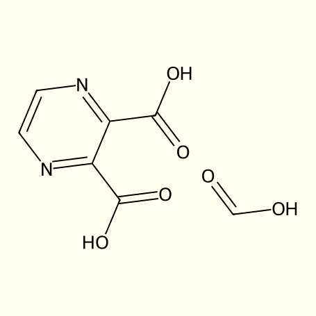 O=C(O)c1nccnc1C(=O)O.O=CO